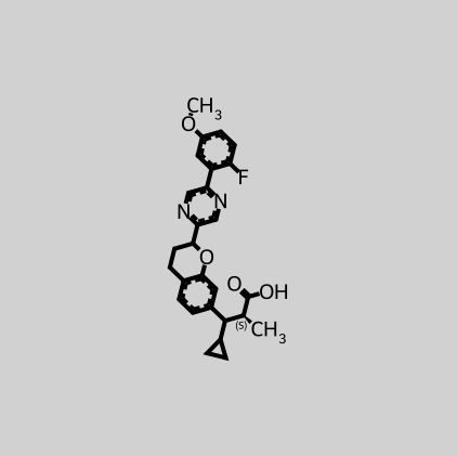 COc1ccc(F)c(-c2cnc(C3CCc4ccc(C(C5CC5)[C@H](C)C(=O)O)cc4O3)cn2)c1